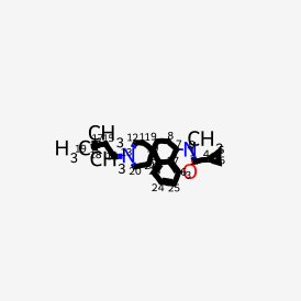 CN(C(=O)C1CC1)[C@H]1CCC2(CCN(CCC(C)(C)C)CC2)c2ccccc21